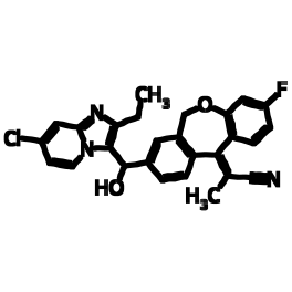 CCc1nc2cc(Cl)ccn2c1C(O)c1ccc2c(c1)COc1cc(F)ccc1C2=C(C)C#N